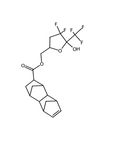 O=C(OCC1CC(F)(F)C(O)(C(F)(F)F)O1)C1CC2CC1C1C3C=CC(C3)C21